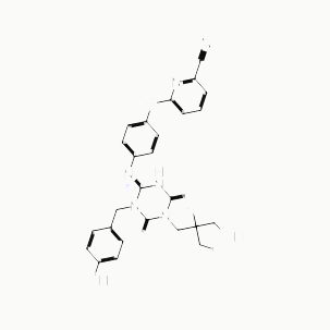 Cc1ccc(Cn2c(=O)n(CC(O)(CO)CO)c(=O)[nH]/c2=N\c2ccc(Oc3cccc(C#N)n3)cc2)cc1